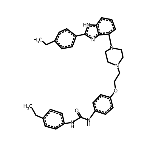 CCc1ccc(NC(=O)Nc2ccc(OCCN3CCN(c4cccc5[nH]c(-c6ccc(CC)cc6)nc45)CC3)cc2)cc1